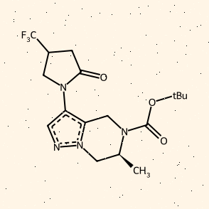 C[C@H]1Cn2ncc(N3CC(C(F)(F)F)CC3=O)c2CN1C(=O)OC(C)(C)C